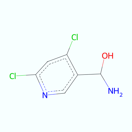 NC(O)c1cnc(Cl)cc1Cl